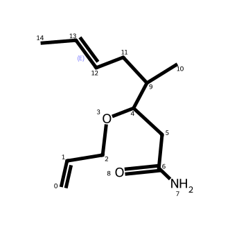 C=CCOC(CC(N)=O)C(C)C/C=C/C